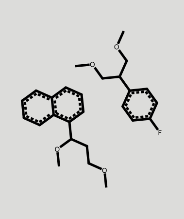 COCC(COC)c1ccc(F)cc1.COCCC(OC)c1cccc2ccccc12